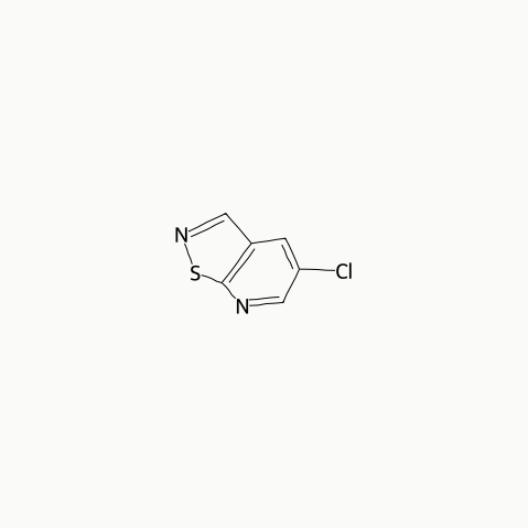 Clc1cnc2sncc2c1